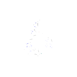 C1=CN2NCNC2N=C1.COc1cc(C=Cc2nc3n(n2)CC[C@H](C)N3c2ccc(F)cc2)cnc1-n1cnc(C)c1